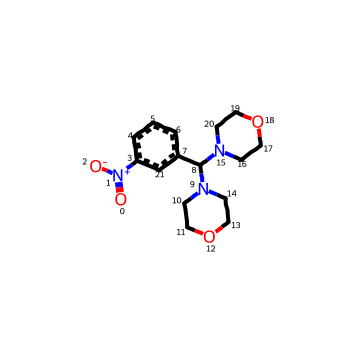 O=[N+]([O-])c1cccc(C(N2CCOCC2)N2CCOCC2)c1